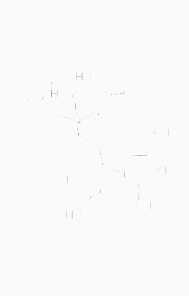 CC[Si](CCC[Si](C)(OC(C)C)OC(C)C)(OC(C)C)OC(C)C